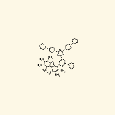 Bc1c(B)c(B)c2c(sc3c(-c4cc(-c5ccccc5)cc(-c5nc(-c6ccc(-c7ccccc7)cc6)nc(-c6ccc(-c7ccccc7)cc6)n5)c4)c(B)c(B)c(B)c32)c1B